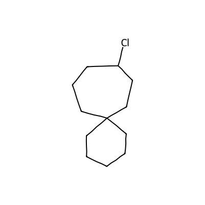 ClC1CCCC2(CCCCC2)CC1